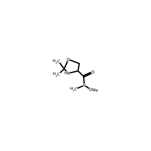 CON(C)C(=O)C1COC(C)(C)N1